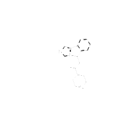 Cl.Cl.OC(CC1c2ccccc2-c2cncn21)C1CCNCC1